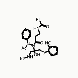 CCNCC(O)(COc1ccccc1C#N)N(C(=O)CCNC(=O)CC)N(C(C)=O)c1ccccc1